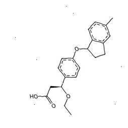 CCO[C@@H](CC(=O)O)c1ccc(OC2CCc3cc(C)ccc32)cc1